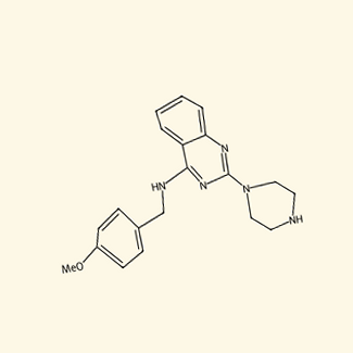 COc1ccc(CNc2nc(N3CCNCC3)nc3ccccc23)cc1